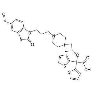 O=Cc1ccc2c(c1)sc(=O)n2CCCN1CCC2(CC1)CC(OC(C(=O)O)(c1cccs1)c1cccs1)C2